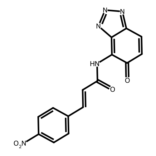 O=C(C=Cc1ccc([N+](=O)[O-])cc1)NC1=C2N=NN=C2C=CC1=O